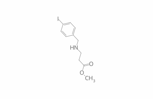 COC(=O)CCNCc1ccc(I)cc1